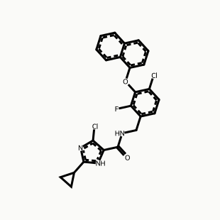 O=C(NCc1ccc(Cl)c(Oc2cccc3ccccc23)c1F)c1[nH]c(C2CC2)nc1Cl